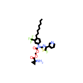 CCCCCCCCc1ccc(N(C(=O)OCOC(=O)C2(N)CC2)c2nc(-c3cccnc3)c(F)s2)cc1C(F)(F)F